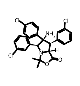 CC1(C)OC(=O)[C@H]2[C@H](c3cccc(Cl)c3)[C@@](N)(c3ccc(Cl)cc3)[C@H](c3cccc(Cl)c3)N21